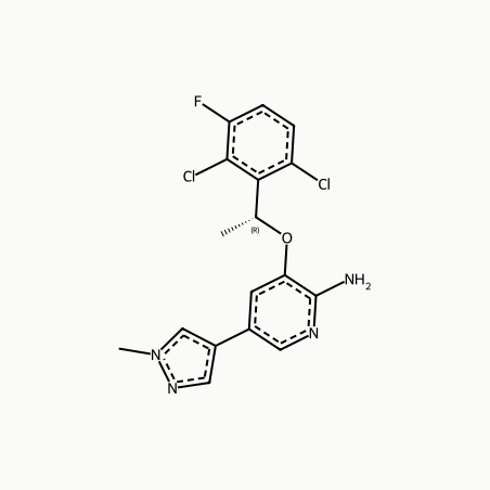 C[C@@H](Oc1cc(-c2cnn(C)c2)cnc1N)c1c(Cl)ccc(F)c1Cl